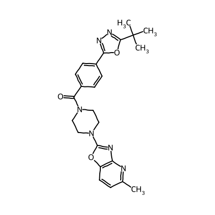 Cc1ccc2oc(N3CCN(C(=O)c4ccc(-c5nnc(C(C)(C)C)o5)cc4)CC3)nc2n1